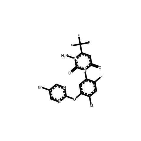 Nn1c(C(F)(F)F)cc(=O)n(-c2cc(Oc3ncc(Br)cn3)c(Cl)cc2F)c1=O